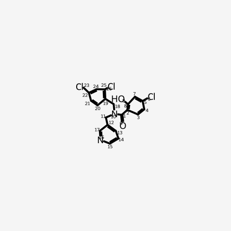 O=C(c1ccc(Cl)cc1O)N(Cc1cccnc1)Cc1ccc(Cl)cc1Cl